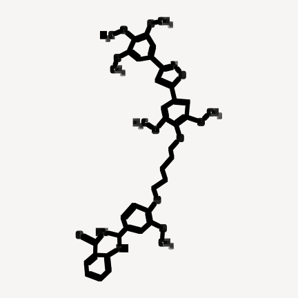 COc1cc(C2NC(=O)c3ccccc3N2)ccc1OCCCCCOc1c(OC)cc(-c2cc(-c3cc(OC)c(OC)c(OC)c3)no2)cc1OC